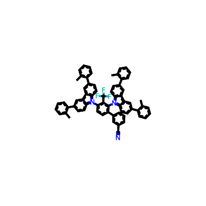 Cc1ccccc1-c1ccc2c(c1)c1cc(-c3ccccc3C)ccc1n2-c1ccc(-c2cccc(C#N)c2)c(-n2c3ccc(-c4ccccc4C)cc3c3cc(-c4ccccc4C)ccc32)c1C(F)(F)F